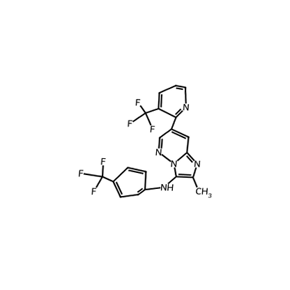 Cc1nc2cc(-c3ncccc3C(F)(F)F)cnn2c1Nc1ccc(C(F)(F)F)cc1